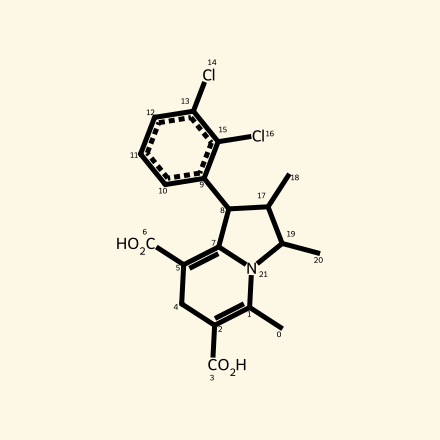 CC1=C(C(=O)O)CC(C(=O)O)=C2C(c3cccc(Cl)c3Cl)C(C)C(C)N12